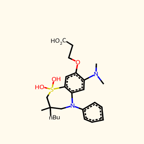 CCCCC1(C)CN(c2ccccc2)c2cc(N(C)C)c(OCCC(=O)O)cc2S(O)(O)C1